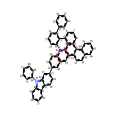 c1ccc(-c2ccccc2-c2c(-c3ccccc3)cccc2N(c2ccc(-c3ccc4c5ccccc5n(-c5ccccc5)c4c3)cc2)c2ccc3c(ccc4ccccc43)c2)cc1